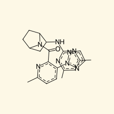 Cc1cc(C)nc(NC2CC3CCC2N3C(=O)c2nc(C)ccc2-n2nccn2)n1